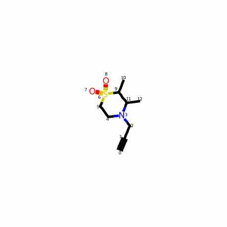 C#CCN1CCS(=O)(=O)C(C)C1C